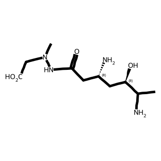 CC(N)[C@H](O)C[C@@H](N)CC(=O)NN(C)CC(=O)O